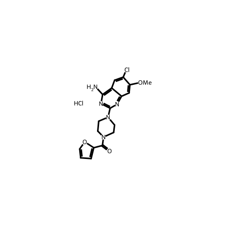 COc1cc2nc(N3CCN(C(=O)c4ccco4)CC3)nc(N)c2cc1Cl.Cl